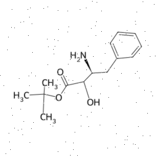 CC(C)(C)OC(=O)C(O)[C@@H](N)Cc1ccccc1